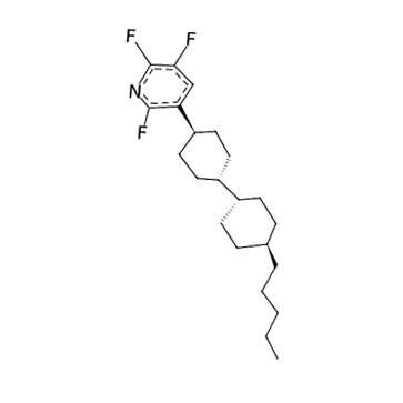 CCCCC[C@H]1CC[C@H]([C@H]2CC[C@H](c3cc(F)c(F)nc3F)CC2)CC1